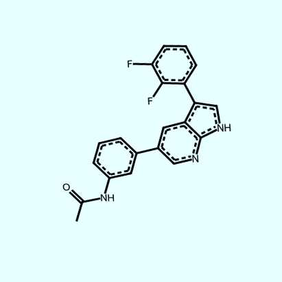 CC(=O)Nc1cccc(-c2cnc3[nH]cc(-c4cccc(F)c4F)c3c2)c1